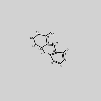 Cc1ccccc1N=C1C(C)CCCC1C